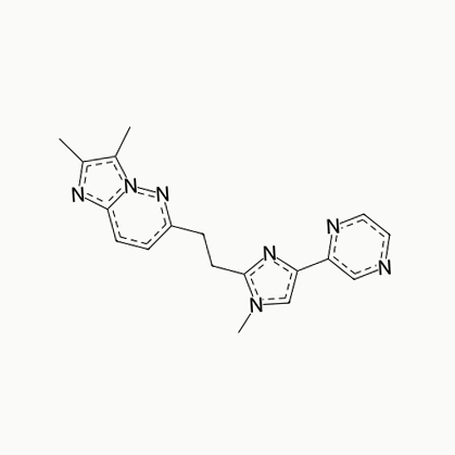 Cc1nc2ccc(CCc3nc(-c4cnccn4)cn3C)nn2c1C